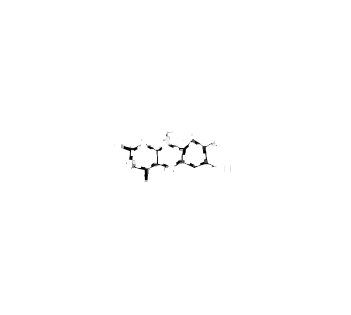 Cc1cc2nc3c(=O)[nH]c(=O)nc-3n(C)c2cc1Cl